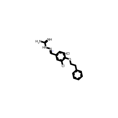 Cl.N=C(N)N/N=C/c1ccc(OCCc2ccccc2)c(Cl)c1